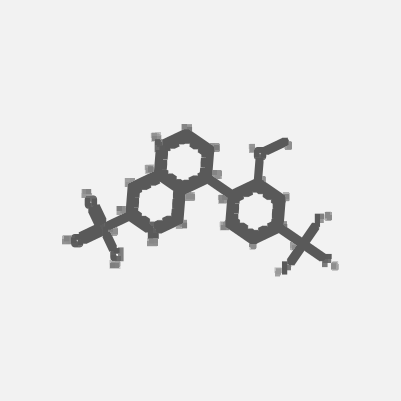 COc1cc(C(F)(F)F)ccc1-c1ccnc2cc(S(=O)(=O)Cl)ncc12